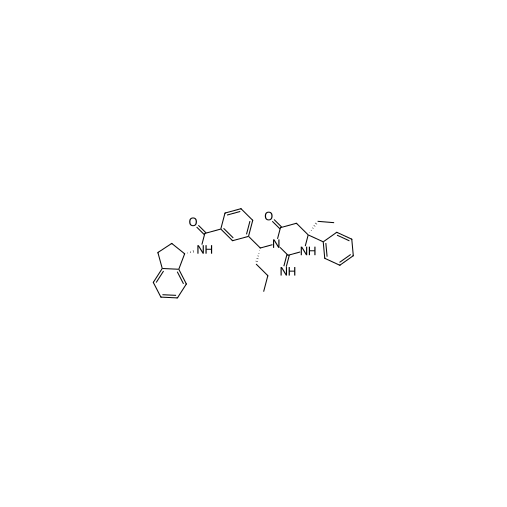 CCC[C@H](c1cccc(C(=O)N[C@H]2CCc3ccccc32)c1)N1C(=N)N[C@](CC)(c2ccccc2)CC1=O